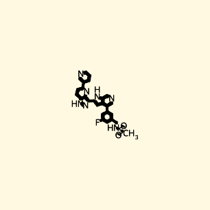 CS(=O)(=O)NCc1cc(F)cc(-c2cncc3[nH]c(-c4n[nH]c5ccc(-c6cccnc6)nc45)cc23)c1